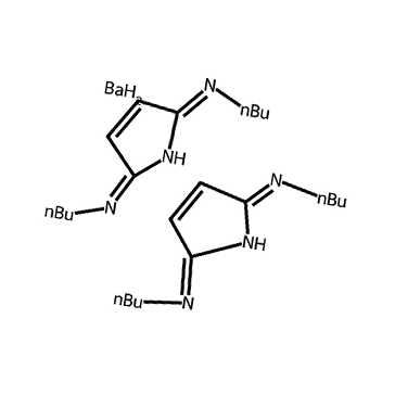 CCCCN=C1C=CC(=NCCCC)N1.CCCCN=C1C=CC(=NCCCC)N1.[BaH2]